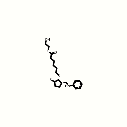 O=C(CCCCCC[C@H]1C(F)CC[C@@H]1CNc1ccccc1)OCCO